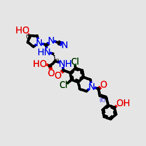 N#CN=C(NC[C@H](NC(=O)c1c(Cl)cc2c(c1Cl)CCN(C(=O)/C=C/c1ccccc1O)C2)C(=O)O)N1CC[C@H](O)C1